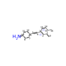 C=C/C=C(C#Cc1ccc(N)cc1)\C=C/CC